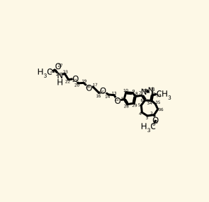 COC1CCCc2c(-c3ccc(OCCOCCOCCOCCNC(C)=O)cc3)nnc(C)c2CC1